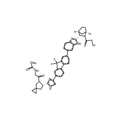 COC(=O)NCC(=O)N1CC2(CC2)C[C@H]1c1nc(-c2ccc3c(c2)C(F)(F)c2cc(-c4ccc5nc([C@@H]6[C@H]7CC[C@H](C7)N6C(=O)CC(C)C)[nH]c5c4)ccc2-3)c[nH]1